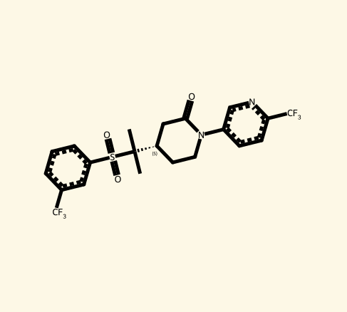 CC(C)([C@H]1CCN(c2ccc(C(F)(F)F)nc2)C(=O)C1)S(=O)(=O)c1cccc(C(F)(F)F)c1